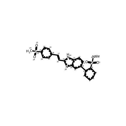 CNS(=O)(=O)c1ccccc1-c1ccc2[nH]c(/C=C/c3ccc(S(C)(=O)=O)cc3)nc2c1